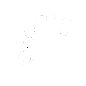 CN(Sc1ccc(CN2CCC(c3ccc4c(c3)CN(C3CCC(=O)NC3=O)C4=O)CC2)cc1)c1ccccc1